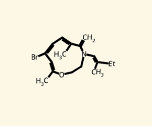 C=C1/C(C)=C/C=C(Br)\C=C(/C)OCCN1/C=C(\C)CC